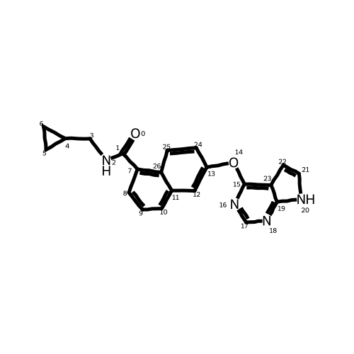 O=C(NCC1CC1)c1cccc2cc(Oc3ncnc4[nH]ccc34)ccc12